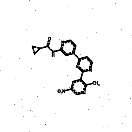 Cc1ncc([N+](=O)[O-])cc1-c1nccc(-c2ccnc(NC(=O)C3CC3)c2)n1